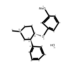 COc1cccc(O[C@H]2CCN(C)C[C@@H]2c2ccccc2)c1.Cl